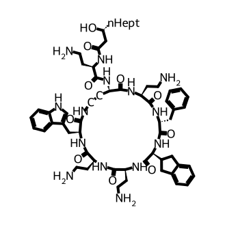 CCCCCCC[C@@H](O)CC(=O)N[C@H](CCN)C(=O)N[C@H]1CCNC(=O)[C@H](Cc2c[nH]c3ccccc23)NC(=O)[C@H](CCN)NC(=O)[C@H](CCN)NC(=O)[C@H](C2Cc3ccccc3C2)NC(=O)[C@@H](Cc2ccccc2)NC(=O)[C@H](CCN)NC1=O